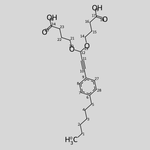 CCCCCCc1ccc(C#CC(OCCCC(=O)O)OCCCC(=O)O)cc1